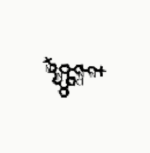 CC(C)(C)c1ccc(-c2ccc(-c3ccccc3-c3cc(Cl)cc(-c4ccccc4-c4ccc(-c5ccc(C(C)(C)C)nc5)nc4)c3)cn2)cn1